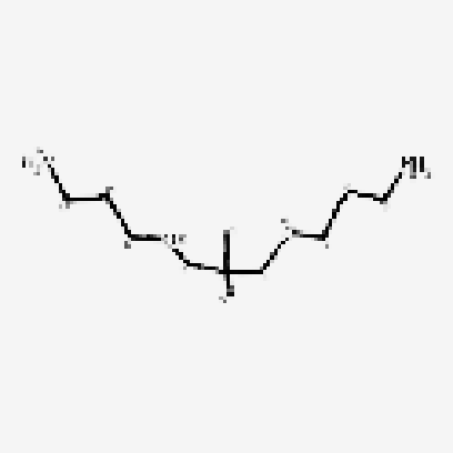 CC(C)(COCCCN)COCCCN